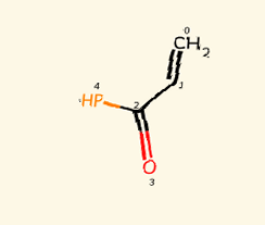 C=CC(=O)[PH]